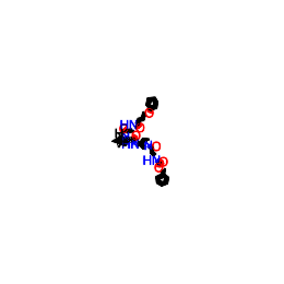 C[C@@]12C[C@@H]1N(C(=O)CNC(=O)CCCOc1ccccc1)[C@H](C(=O)N[C@@H]1CCN(C(=O)CCNC(=O)OCc3ccccc3)C1)C2